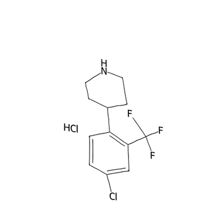 Cl.FC(F)(F)c1cc(Cl)ccc1C1CCNCC1